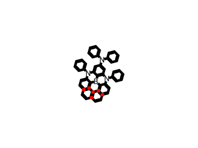 c1ccc(-c2cccc3c2B2c4c(-c5ccccc5)cccc4N(c4ccccc4)c4cc(N(c5ccccc5)c5ccccc5)cc(c42)N3c2ccccc2)cc1